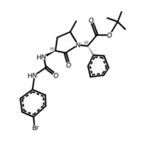 CC1C[C@H](NC(=O)Nc2ccc(Br)cc2)C(=O)N1[C@H](C(=O)OC(C)(C)C)c1ccccc1